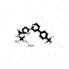 CC1(C)C[C@@]2(CC[C@@H](c3cc(-c4ccc(C(F)(F)F)cc4)ccn3)N2)C(=O)N1.Cl